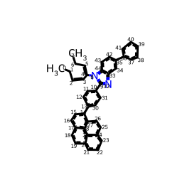 CC/C=C\C(=C/CC)n1c(-c2ccc(-c3ccc4ccc5cccc6ccc3c4c56)cc2)nc2cc(-c3ccccc3)ccc21